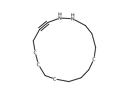 C1#CNNCCCCCCCCCCCC1